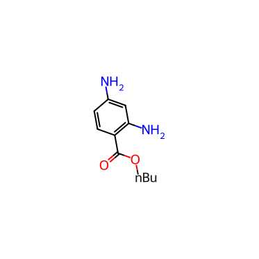 CCCCOC(=O)c1ccc(N)cc1N